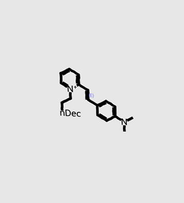 CCCCCCCCCCCC[n+]1ccccc1/C=C/c1ccc(N(C)C)cc1